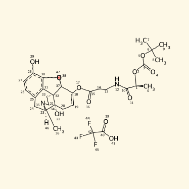 C[C@H](OC(=O)OC(C)(C)C)C(=O)NCCC(=O)OC1=CC[C@@]2(O)[C@H]3Cc4ccc(O)c5c4[C@@]2(CCN3C)[C@H]1O5.O=C(O)C(F)(F)F